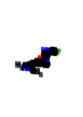 CC1CN(Cc2ccc(-c3cccnc3C(=O)N3CCC(Nc4ccc(F)cc4)CC3)cc2)CC(C)N1